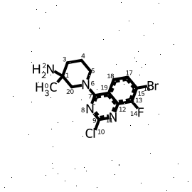 CC1(N)CCCN(c2nc(Cl)nc3c(F)c(Br)ccc23)C1